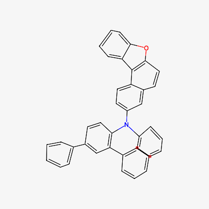 c1ccc(-c2ccc(N(c3ccccc3)c3ccc4c(ccc5oc6ccccc6c54)c3)c(-c3ccccc3)c2)cc1